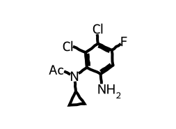 CC(=O)N(c1c(N)cc(F)c(Cl)c1Cl)C1CC1